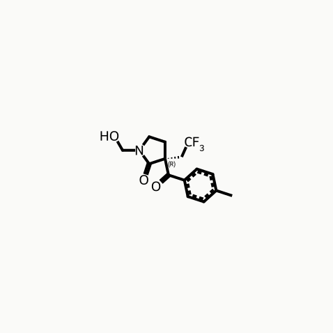 Cc1ccc(C(=O)[C@]2(CC(F)(F)F)CCN(CO)C2=O)cc1